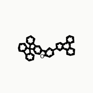 c1ccc2c(c1)-c1ccccc1C21c2ccccc2-c2cc3c(cc21)oc1ccc(-c2ccc4c5ccccc5c5ccccc5c4c2)cc13